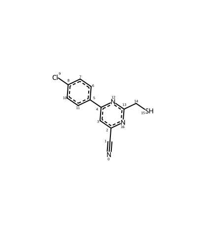 N#Cc1cc(-c2ccc(Cl)cc2)nc(CS)n1